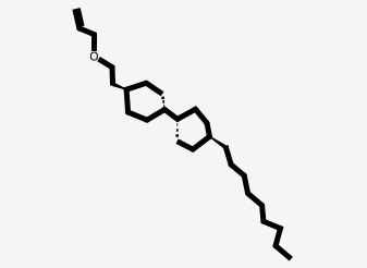 C=CCOCC[C@H]1CC[C@H]([C@H]2CC[C@H](CCCCCCCCC)CC2)CC1